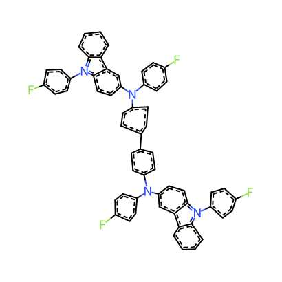 Fc1ccc(N(c2ccc(-c3ccc(N(c4ccc(F)cc4)c4ccc5c(c4)c4ccccc4n5-c4ccc(F)cc4)cc3)cc2)c2ccc3c(c2)c2ccccc2n3-c2ccc(F)cc2)cc1